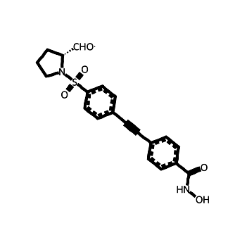 O=[C][C@H]1CCCN1S(=O)(=O)c1ccc(C#Cc2ccc(C(=O)NO)cc2)cc1